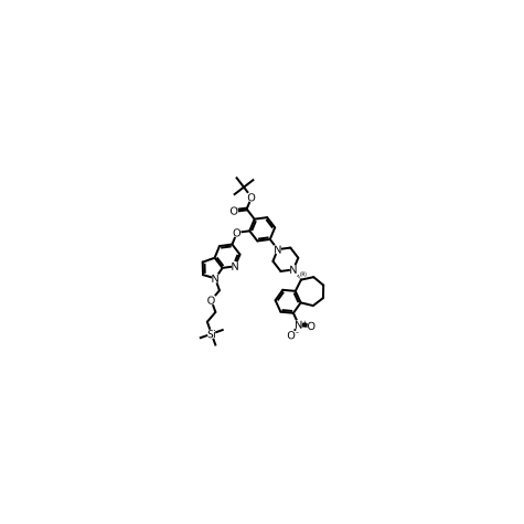 CC(C)(C)OC(=O)c1ccc(N2CCN([C@@H]3CCCCc4c3cccc4[N+](=O)[O-])CC2)cc1Oc1cnc2c(ccn2COCC[Si](C)(C)C)c1